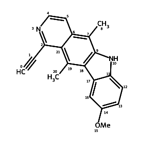 C#Cc1nccc2c(C)c3[nH]c4ccc(OC)cc4c3c(C)c12